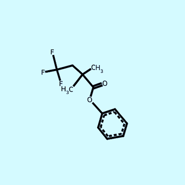 CC(C)(CC(F)(F)F)C(=O)Oc1ccccc1